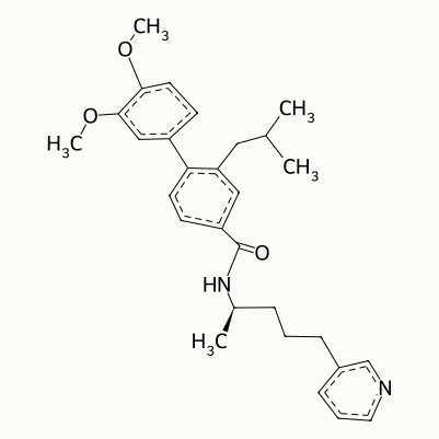 COc1ccc(-c2ccc(C(=O)N[C@H](C)CCCc3cccnc3)cc2CC(C)C)cc1OC